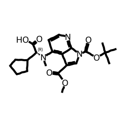 COC(=O)c1cn(C(=O)OC(C)(C)C)c2nccc(N(C)[C@@H](C(=O)O)C3CCCC3)c12